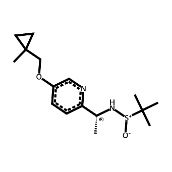 C[C@@H](N[S+]([O-])C(C)(C)C)c1ccc(OCC2(C)CC2)cn1